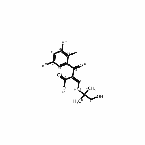 CC(C)(CO)NC=C(C(=O)O)C(=O)c1cc(F)cc(F)c1F